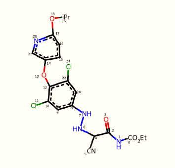 CCOC(=O)NC(=O)C(C#N)NNc1cc(Cl)c(Oc2ccc(OC(C)C)nc2)c(Cl)c1